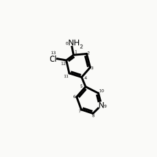 Nc1ccc(-c2cccnc2)cc1Cl